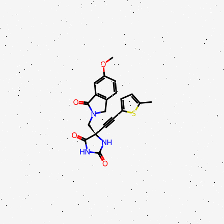 COc1ccc2c(c1)C(=O)N(C[C@@]1(C#Cc3ccc(C)s3)NC(=O)NC1=O)C2